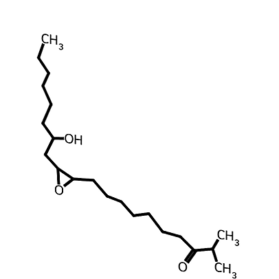 CCCCCCC(O)CC1OC1CCCCCCCC(=O)C(C)C